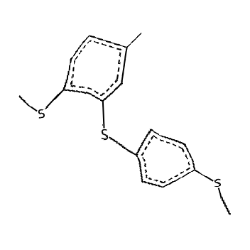 CSc1ccc(Sc2cc(C)ccc2SC)cc1